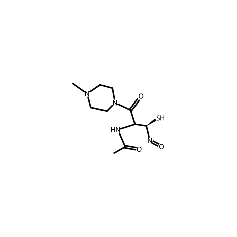 CC(=O)NC(C(=O)N1CCN(C)CC1)[C@@H](S)N=O